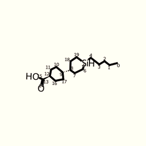 CCCCC[SiH]1CCC([C@H]2CC[C@H](C(=O)O)CC2)CC1